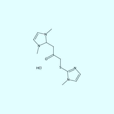 CN1C=CN(C)C1CC(=O)CSc1nccn1C.Cl